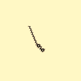 CCCCCCCCCCCCCCCCCCOc1ccc(N=Nc2ccccc2)cc1